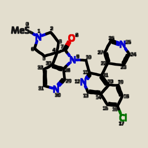 CSN1CCC2(CC1)C(=O)N(Cc1ncc3cc(Cl)ccc3c1-c1ccncc1)c1cnccc12